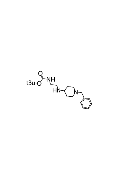 CC(C)(C)OC(=O)NCCNC1CCN(Cc2ccccc2)CC1